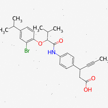 CC#CC(CC(=O)O)c1ccc(NC(=O)C(Oc2ccc(C(C)C)cc2Br)C(C)C)cc1